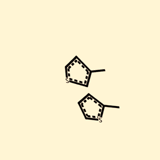 Cc1cccs1.Cc1ccsc1